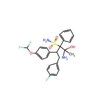 CC(N)(O)C(c1ccccc1)(C(Cc1ccc(F)cc1)c1ccc(OC(F)F)cc1)S(N)(=O)=O